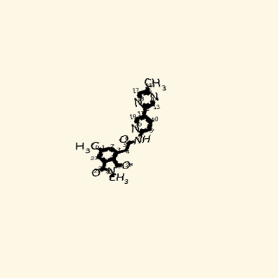 Cc1cc(CC(=O)Nc2ccc(-c3cnc(C)cn3)cn2)c2c(c1)C(=O)N(C)C2=O